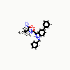 CC(C)(C)[C@H](NC(=O)c1nn(Cc2ccccc2)c2ccc(-c3ccccc3)cc12)C(N)=O